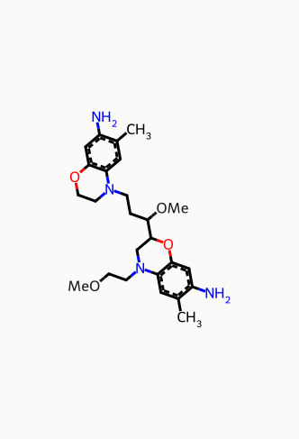 COCCN1CC(C(CCN2CCOc3cc(N)c(C)cc32)OC)Oc2cc(N)c(C)cc21